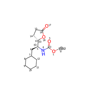 CC(C)(C)OC(=O)N[C@@H](CC1CCCCC1)[C@@H]1CCC(=O)O1